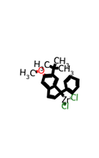 COc1cc2c(cc1C(C)(C)C)[C](c1ccccc1)([Zr]([Cl])[Cl])C=C2